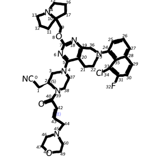 N#CC[C@H]1CN(c2nc(OCC34CCCN3CCC4)nc3c2CCN(c2cccc4ccc(F)c(Cl)c24)C3)CCN1C(=O)/C=C/CN1CCOCC1